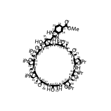 CC[C@@H]1NC(=O)[C@H]([C@H](O)[C@H](C)Cc2nc3cc(C(=O)OC)ccc3[nH]2)N(C)C(=O)[C@H](C(C)C)N(C)C(=O)[C@H](CC(C)C)N(C)C(=O)[C@H](CC(C)C)N(C)C(=O)[C@@H](C)NC(=O)[C@H](C)NC(=O)[C@H](CC(C)C)N(C)C(=O)[C@H](C(C)C)NC(=O)[C@H](CC(C)C)N(C)C(=O)CN(C)C1=O